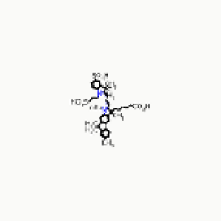 CCCC[N+]1=C(/C=C/C=C2\N(CCCS(=O)(=O)O)c3ccc(S(=O)(=O)O)cc3C2(C)C)C(C)(CCCCCC(=O)O)c2cc3c(cc21)C(C)(C)c1cc(C)ccc1-3